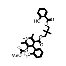 COC(=O)OC1=C(C)NC(C)=C(C(=O)OCC(C)(C)COC(=O)c2ccccc2O)C1c1ccccc1C(F)(F)F